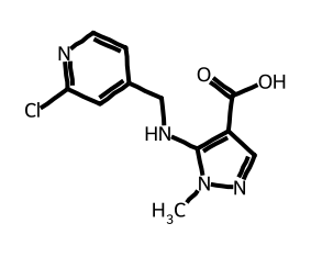 Cn1ncc(C(=O)O)c1NCc1ccnc(Cl)c1